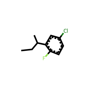 CCC(C)c1cc(Cl)ccc1F